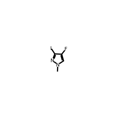 Cn1cc(F)c(I)n1